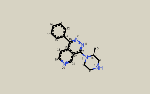 C[C@H]1CNCCN1c1nnc(-c2ccccc2)c2ccncc12